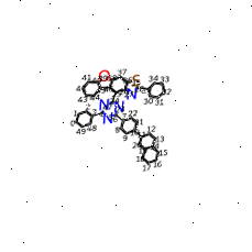 c1ccc(-c2nc(-c3ccc(-c4ccc5ccccc5c4)cc3)nc(-c3c4nc(-c5ccccc5)sc4cc4oc5ccccc5c34)n2)cc1